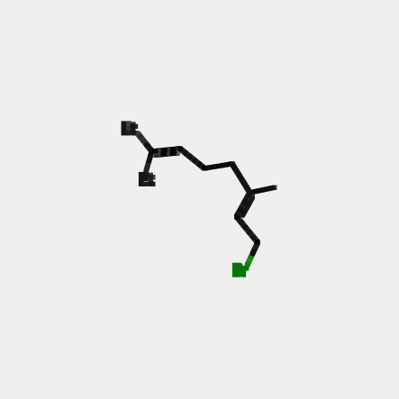 CCC(=CCCC(C)=CCBr)CC